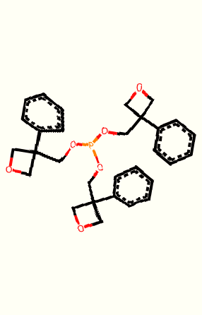 c1ccc(C2(COP(OCC3(c4ccccc4)COC3)OCC3(c4ccccc4)COC3)COC2)cc1